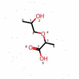 CC(O)COC(C)C(=O)O